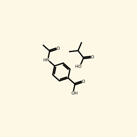 CC(=O)Nc1ccc(C(=O)O)cc1.CC(C)C(=O)O